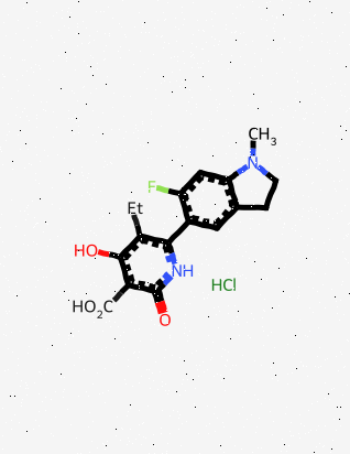 CCc1c(-c2cc3c(cc2F)N(C)CC3)[nH]c(=O)c(C(=O)O)c1O.Cl